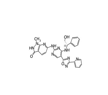 Cn1[nH]c(=O)c2ccc(Nc3ncc(-c4nc(-c5ccccn5)no4)c(N[C@H](CO)c4ccccc4)n3)nc21